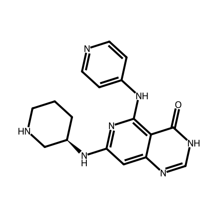 O=c1[nH]cnc2cc(N[C@@H]3CCCNC3)nc(Nc3ccncc3)c12